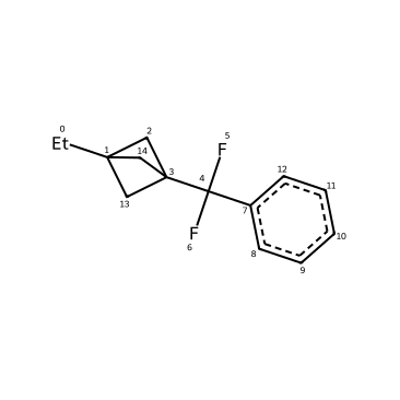 CCC12CC(C(F)(F)c3ccccc3)(C1)C2